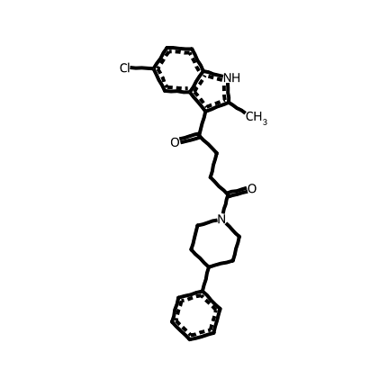 Cc1[nH]c2ccc(Cl)cc2c1C(=O)CCC(=O)N1CCC(c2ccccc2)CC1